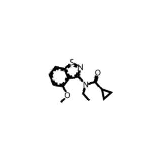 CCN(C(=O)C1CC1)c1nsc2cccc(OC)c12